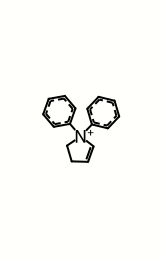 C1=C[N+](c2ccccc2)(c2ccccc2)CC1